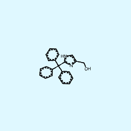 OCc1c[nH]c(C(c2ccccc2)(c2ccccc2)c2ccccc2)n1